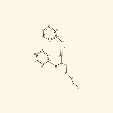 CCCCCC(C#CCc1ccccc1)Cc1ccccc1